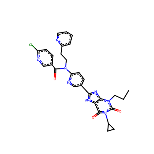 CCCn1c(=O)n(C2CC2)c(=O)c2[nH]c(-c3ccc(N(CCc4ccccn4)C(=O)c4ccc(Cl)nc4)nc3)nc21